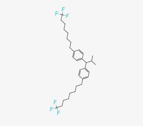 CC(C)C(c1ccc(CCCCCCCC(F)(F)F)cc1)c1ccc(CCCCCCCC(F)(F)F)cc1